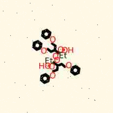 CCC(OO)(OOC(CC)(OO)C(CCOc1ccccc1)CCOc1ccccc1)C(CCOc1ccccc1)CCOc1ccccc1